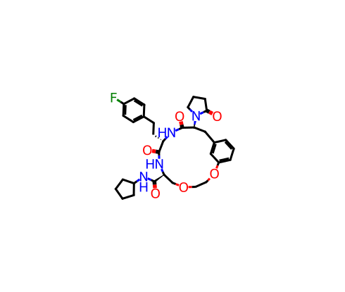 O=C(NC1CCCC1)[C@@H]1COCCOc2cccc(c2)C[C@H](N2CCCC2=O)C(=O)N[C@@H](CCc2ccc(F)cc2)C(=O)N1